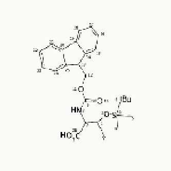 CC(O[Si](C)(C)C(C)(C)C)C(NC(=O)OCC1c2ccccc2-c2ccccc21)C(=O)O